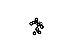 c1ccc(-n2c3ccccc3c3cc(-c4nc(-n5c6ccccc6c6cc7ccccc7cc65)nc5oc6ccccc6c45)ccc32)cc1